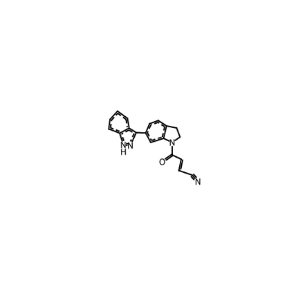 N#C/C=C/C(=O)N1CCc2ccc(-c3n[nH]c4ccccc34)cc21